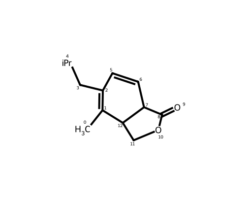 CC1=C(CC(C)C)C=CC2C(=O)OCC12